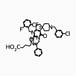 O=C(O)CCCN[C@@H](Cn1c(=O)c2c(n(Cc3c(F)cccc3C(F)(F)F)c1=O)CCC21CCN(Cc2cccc(Cl)c2)CC1)c1ccccc1